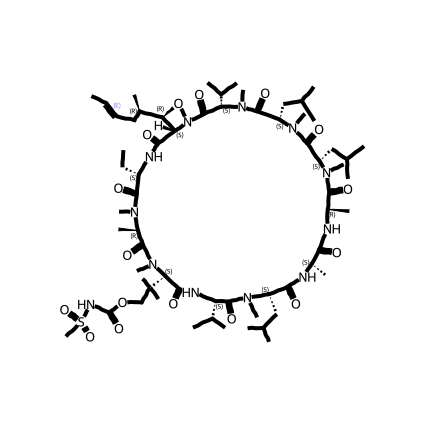 C/C=C/C[C@@H](C)[C@H]1ON2C(=O)[C@H](C(C)C)N(C)C(=O)[C@H](CC(C)C)N(C)C(=O)[C@H](CC(C)C)N(C)C(=O)[C@@H](C)NC(=O)[C@H](C)NC(=O)[C@H](CC(C)C)N(C)C(=O)[C@H](C(C)C)NC(=O)[C@H](C(C)(C)COC(=O)NS(C)(=O)=O)N(C)C(=O)[C@@H](C)N(C)C(=O)[C@H](CC)NC(=O)[C@H]12